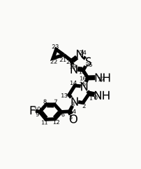 N=C1CN(C(=O)c2ccc(F)cc2)CCN1C(=N)c1nc(C2CC2)ns1